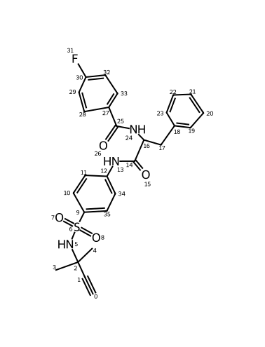 C#CC(C)(C)NS(=O)(=O)c1ccc(NC(=O)C(Cc2ccccc2)NC(=O)c2ccc(F)cc2)cc1